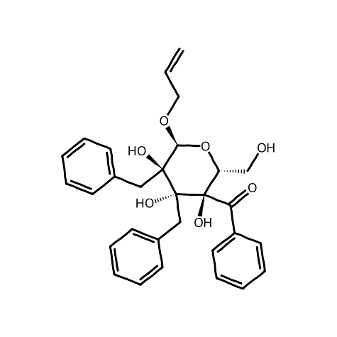 C=CCO[C@H]1O[C@H](CO)[C@](O)(C(=O)c2ccccc2)[C@@](O)(Cc2ccccc2)[C@]1(O)Cc1ccccc1